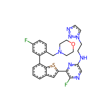 Fc1ccc(CN2CCOCC2)c(-c2cccc3cc(-c4nc(NCCn5ccnn5)cnc4F)sc23)c1